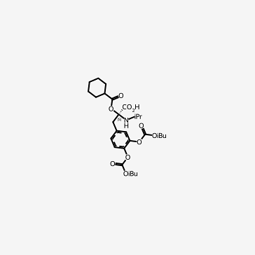 CC(C)COC(=O)Oc1ccc(C[C@](NC(C)C)(OC(=O)C2CCCCC2)C(=O)O)cc1OC(=O)OCC(C)C